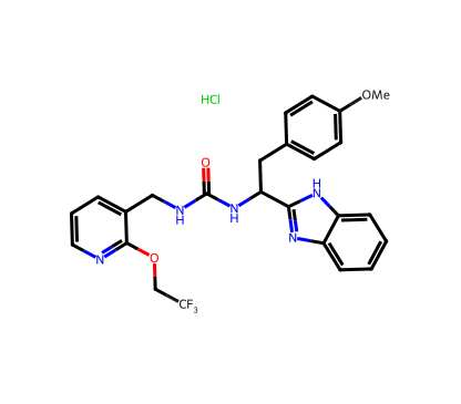 COc1ccc(CC(NC(=O)NCc2cccnc2OCC(F)(F)F)c2nc3ccccc3[nH]2)cc1.Cl